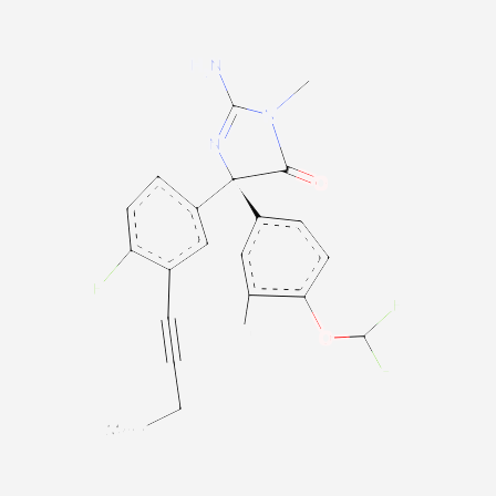 CCc1cc([C@@]2(c3ccc(F)c(C#CCOC)c3)N=C(N)N(C)C2=O)ccc1OC(F)F